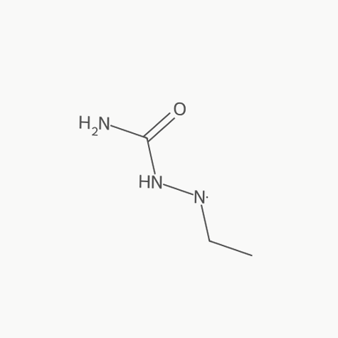 CC[N]NC(N)=O